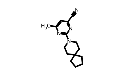 Cc1cc(C#N)nc(N2CCC3(CCCC3)CC2)n1